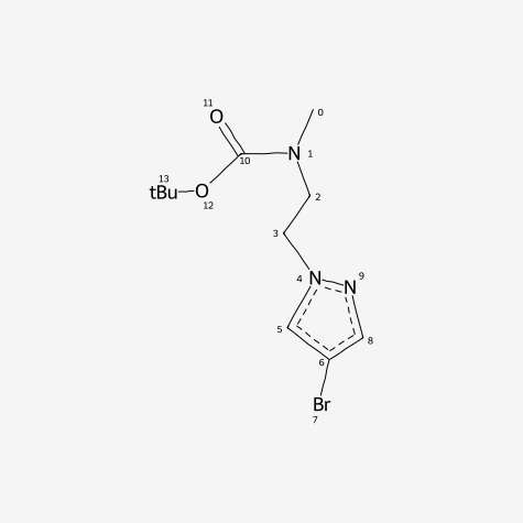 CN(CCn1cc(Br)cn1)C(=O)OC(C)(C)C